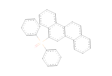 O=P(c1ccccc1)(c1ccccc1)c1cc2c3ccccc3ccc2c2ccccc12